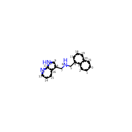 c1ccc2c(CNCc3c[nH]c4ncccc34)cccc2c1